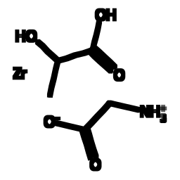 CC(O)C(=O)O.[NH3+]CC(=O)[O-].[Zr]